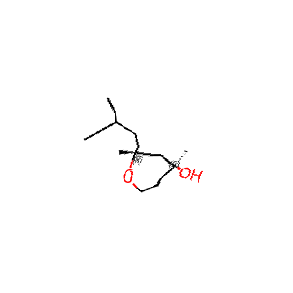 CC(C)C[C@]1(C)C[C@@](C)(O)CCO1